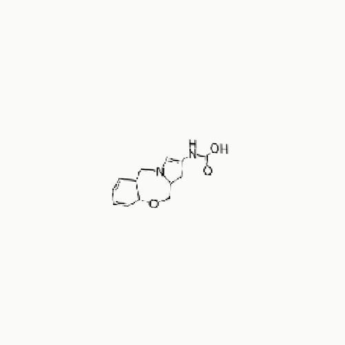 O=C(O)NC1=CN2CC3C=CC=CC3OCC2C1